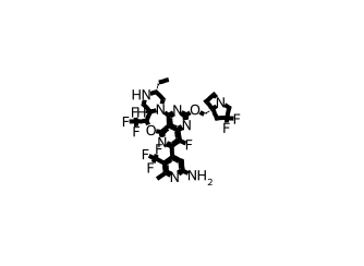 CC[C@@H]1CN2c3nc(OC[C@]45CCN4CC(F)(F)C5)nc4c(F)c(-c5cc(N)nc(C)c5C(F)(F)F)nc(c34)OC(C(F)(F)F)[C@@H]2CN1